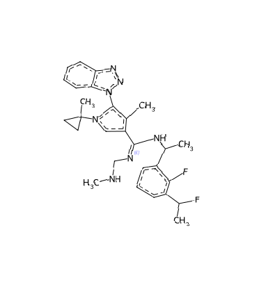 CNC/N=C(/NC(C)c1cccc(C(C)F)c1F)c1cn(C2(C)CC2)c(-n2nnc3ccccc32)c1C